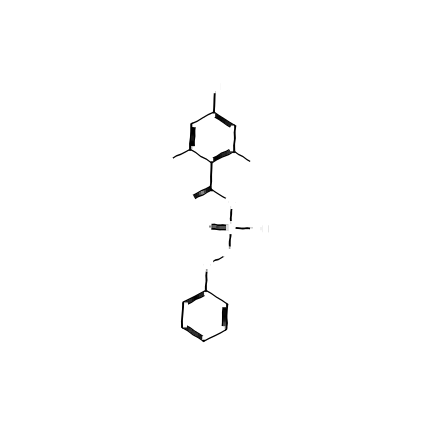 Cc1cc(C)c(C(=O)OP(=O)(O)OOc2ccccc2)c(C)c1